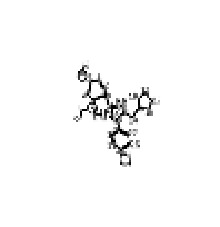 CCOc1cc(OC)ccc1C1=NC(CC2CCCC2)C(c2ccc(Cl)cc2)N1